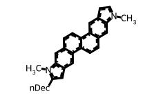 CCCCCCCCCCc1cc2cc3c(ccc4c5cc6ccn(C)c6cc5ccc34)cc2n1C